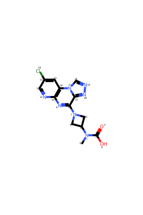 CN(C(=O)O)C1CN(c2nc3ncc(Cl)cc3n3cnnc23)C1